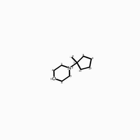 [CH2]C1(N2CCOCC2)CCCC1